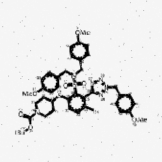 COc1ccc(CN(Cc2ccc(OC)cc2)S(=O)(=O)c2c(SC3CCN(C(=O)OC(C)(C)C)CC3)ccc(I)c2-c2nnn(Cc3ccc(OC)cc3)n2)cc1